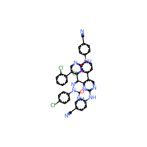 N#Cc1ccc(Nc2ncc(-c3ccccc3Cl)c(C(=NN(C(N)=O)c3ccc(Cl)cc3)c3nc(Nc4ccc(C#N)cc4)ncc3-c3ccccc3Cl)n2)cc1